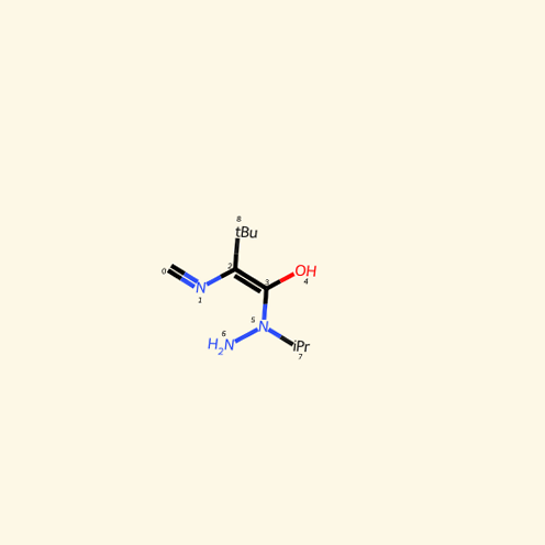 C=N/C(=C(/O)N(N)C(C)C)C(C)(C)C